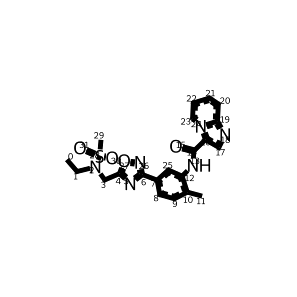 CCN(Cc1nc(-c2ccc(C)c(NC(=O)c3cnc4ccccn34)c2)no1)S(C)(=O)=O